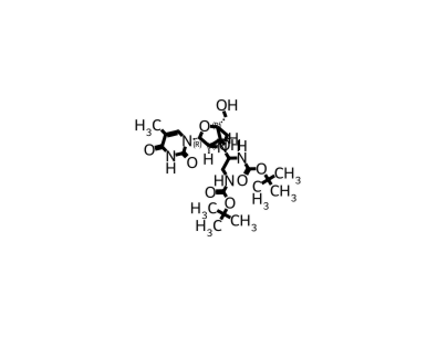 Cc1cn([C@@H]2O[C@@]3(CO)CN(C(CNC(=O)OC(C)(C)C)NC(=O)OC(C)(C)C)[C@@H]2[C@@H]3O)c(=O)[nH]c1=O